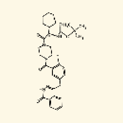 CC(C)(C)OC(=O)N[C@@H](C(=O)N1CCN(C(=O)c2cc(Cc3n[nH]c(=O)c4ccccc34)ccc2F)CC1)C1CCCCC1